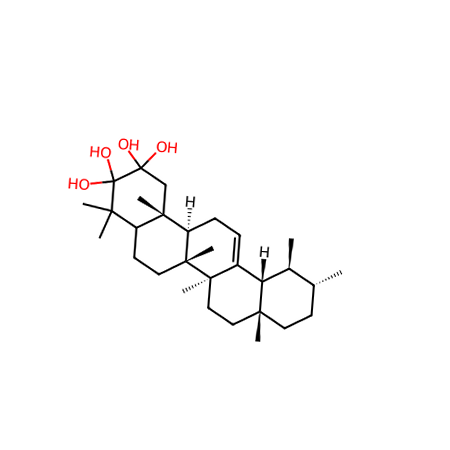 C[C@H]1[C@H](C)CC[C@]2(C)CC[C@]3(C)C(=CC[C@@H]4[C@@]5(C)CC(O)(O)C(O)(O)C(C)(C)C5CC[C@]43C)[C@H]12